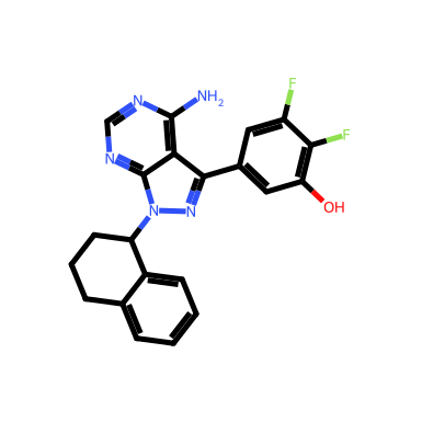 Nc1ncnc2c1c(-c1cc(O)c(F)c(F)c1)nn2C1CCCc2ccccc21